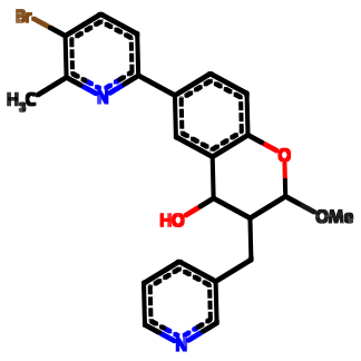 COC1Oc2ccc(-c3ccc(Br)c(C)n3)cc2C(O)C1Cc1cccnc1